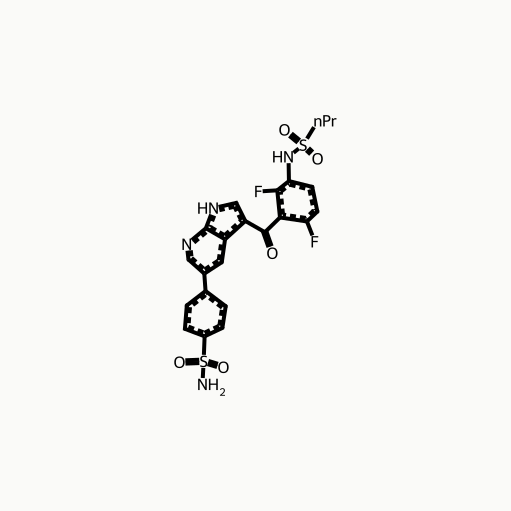 CCCS(=O)(=O)Nc1ccc(F)c(C(=O)c2c[nH]c3ncc(-c4ccc(S(N)(=O)=O)cc4)cc23)c1F